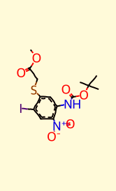 COC(=O)CSc1cc(NC(=O)OC(C)(C)C)c([N+](=O)[O-])cc1I